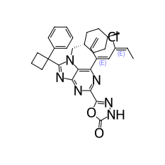 C=C/C(=C\C(Cl)=C/C)c1nc(-c2n[nH]c(=O)o2)nc2nc(C3(c4ccccc4)CCC3)n(C[C@H]3CC[C@H](C)CC3)c12